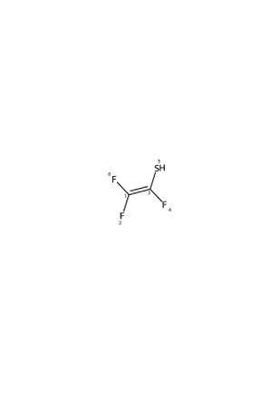 FC(F)=C(F)S